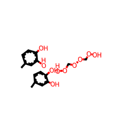 Cc1ccc(O)c(O)c1.Cc1ccc(O)c(O)c1.OOCOOCOO